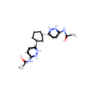 CC(=O)Nc1ccc([C@H]2CCC[C@H](c3ccc(NC(C)=O)nn3)C2)nn1